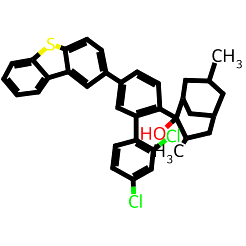 CC1CC2CC(C)C(O)(c3ccc(-c4ccc5sc6ccccc6c5c4)cc3-c3ccc(Cl)cc3Cl)C(C1)C2